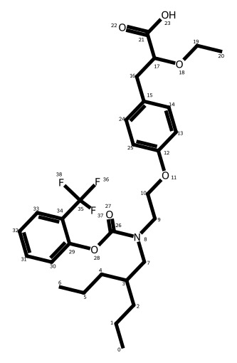 CCCC(CCC)CN(CCOc1ccc(CC(OCC)C(=O)O)cc1)C(=O)Oc1ccccc1C(F)(F)F